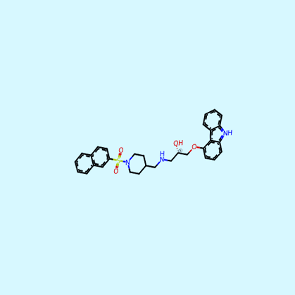 O=S(=O)(c1ccc2ccccc2c1)N1CCC(CNC[C@H](O)COc2cccc3[nH]c4ccccc4c23)CC1